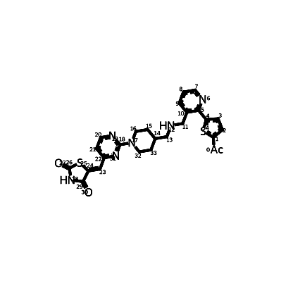 CC(=O)c1ccc(-c2ncccc2CNCC2CCN(c3nccc(/C=C4\SC(=O)NC4=O)n3)CC2)s1